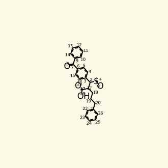 O=[S+]C(c1ccc(C(=O)c2ccccc2)cc1)C(CCCc1ccccc1)C(=O)O